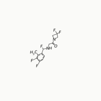 Cc1c(C(F)NCC(=O)N2CC(F)(F)C2)ccc(F)c1F